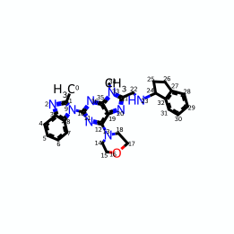 Cc1nc2ccccc2n1-c1nc(N2CCOCC2)c2nc(CNC3CCc4ccccc43)n(C)c2n1